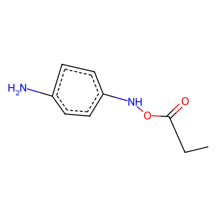 CCC(=O)ONc1ccc(N)cc1